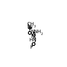 CCn1cc(-c2cccc3c2nc(N)n2cc(CNCc4ccc(F)cc4)nc32)cn1